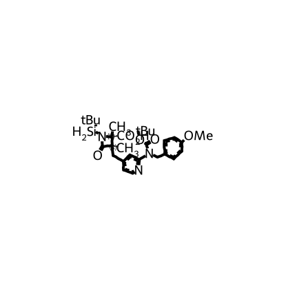 COc1ccc(CN(C(=O)OC(C)(C)C)c2cc(C[C@@]3(C)C(=O)N([SiH2]C(C)(C)C)[C@]3(C)C(=O)O)ccn2)cc1